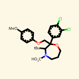 COc1ccc(OCC2(c3ccc(Cl)c(Cl)c3)OCCCN(C(=O)O)C2C(C)(C)C)cc1